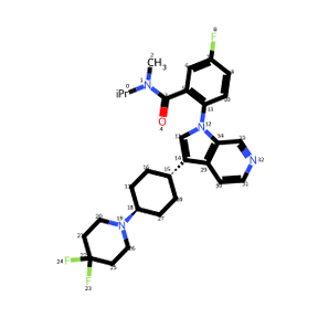 CC(C)N(C)C(=O)c1cc(F)ccc1-n1cc([C@H]2CC[C@H](N3CCC(F)(F)CC3)CC2)c2ccncc21